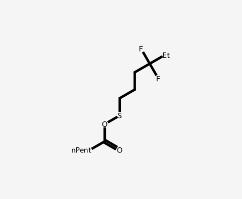 CCCCCC(=O)OSCCCC(F)(F)CC